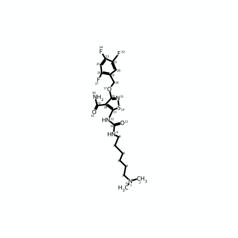 CN(C)CCCCCCNC(=O)Nc1snc(OCc2cc(F)c(F)cc2F)c1C(N)=O